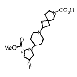 COC(=O)[C@H]1C[C@H](F)CN1C1CCN(C2CC3(CCN(C(=O)O)C3)C2)CC1